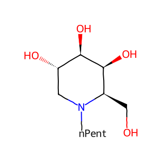 CCCCCN1C[C@H](O)[C@@H](O)[C@@H](O)[C@H]1CO